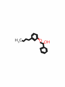 CCCCc1cccc(OCC(O)c2ccccc2)c1